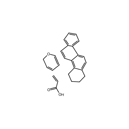 C1=CCOC=C1.C=CC(=O)O.c1ccc2c(c1)ccc1c3c(ccc12)CCCC3